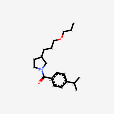 CCCOCCCC1CCN(C(=O)c2ccc(C(C)C)cc2)C1